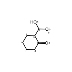 O=C1CCCCC1C(O)O